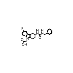 O=C(O)Cn1c2c(c3cc(F)ccc31)C[C@@H](NC(=O)NCc1ccccc1)CC2